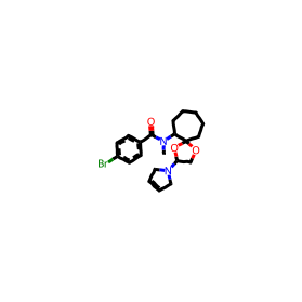 CN(C(=O)c1ccc(Br)cc1)C1CCCCCC12OCC(N1CC=CC1)O2